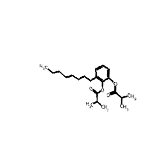 CCCCCCCCc1cccc(OC(=O)C(C)C)c1OC(=O)C(C)C